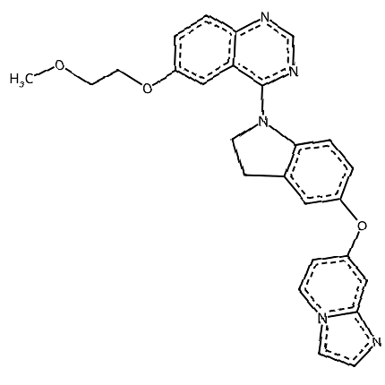 COCCOc1ccc2ncnc(N3CCc4cc(Oc5ccn6ccnc6c5)ccc43)c2c1